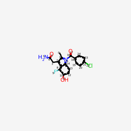 Cc1c(CC(N)=O)c2c(F)c(O)ccc2n1C(=O)c1ccc(Cl)cc1